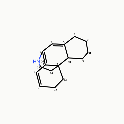 C1=CC2=C3C=C4CCCCC4C2(CC1)CCN3